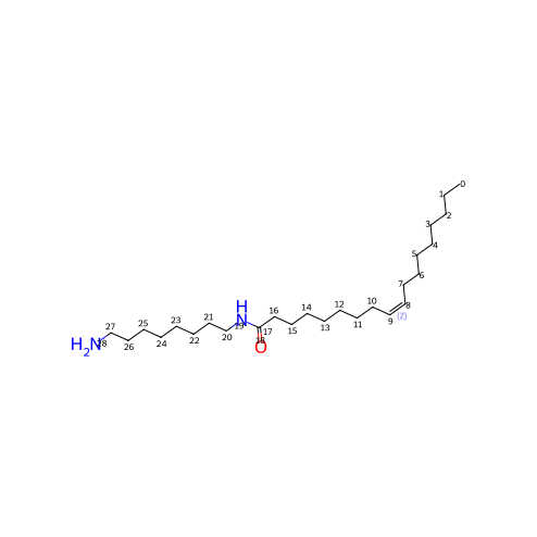 CCCCCCCC/C=C\CCCCCCCC(=O)NCCCCCCCCN